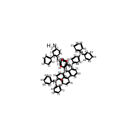 Nc1ccc(N)c(-c2ccccc2)c1.c1ccc(-c2cccc(N(c3ccccc3)c3ccc(N(c4ccccc4)c4ccccc4)cc3)c2N(c2ccccc2)c2ccc(N(c3ccccc3)c3ccccc3)cc2)cc1